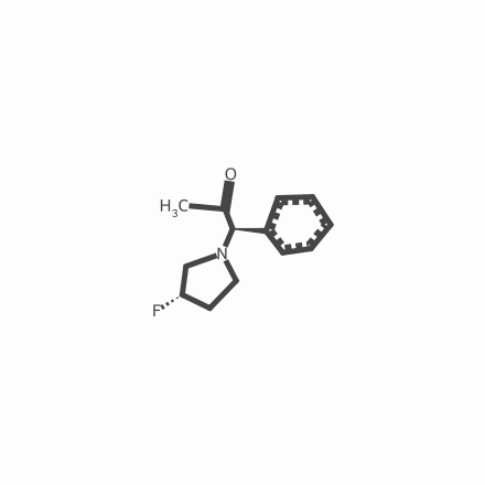 CC(=O)[C@@H](c1ccccc1)N1CC[C@H](F)C1